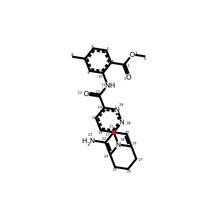 COC(=O)c1ccc(C)cc1NC(=O)c1ccc(N2C3=CCC(N)=C2CCC3)nn1